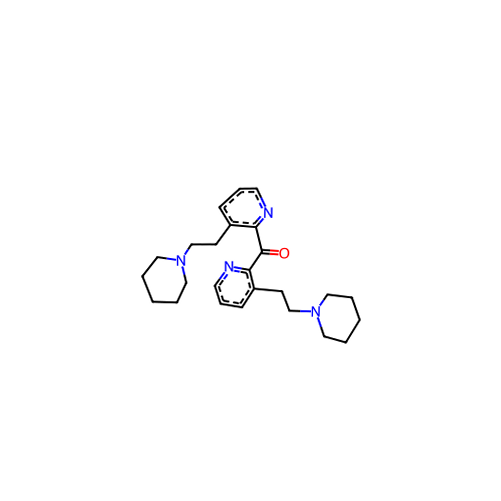 O=C(c1ncccc1CCN1CCCCC1)c1ncccc1CCN1CCCCC1